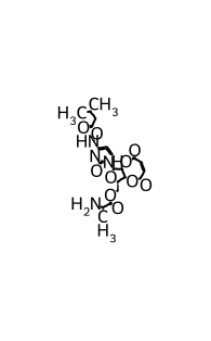 CC(C)CC(=O)ONc1ccn([C@@H]2O[C@H](COC(=O)[C@H](C)N)C3OC(=O)/C=C\C(=O)O[C@@H]32)c(=O)n1